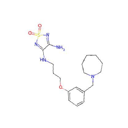 NC1=NS(=O)(=O)N=C1NCCCOc1cccc(CN2CCCCCC2)c1